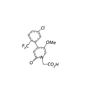 COc1cn(CC(=O)O)c(=O)cc1-c1cc(Cl)ccc1C(F)(F)F